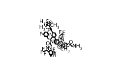 CC(C)(C#Cc1ccc(-c2ccc(Cl)c3c(N(COC(=O)CN)S(C)(=O)=O)nn(CC(F)(F)F)c23)c([C@H](Cc2cc(F)cc(F)c2)NC(=O)Cn2nc(C(F)(F)F)c3c2C(F)(F)[C@@H]2CC32)n1)S(C)(=O)=O